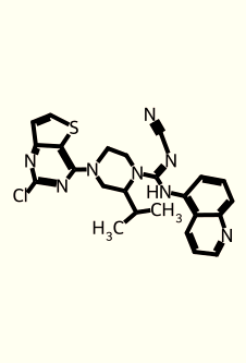 CC(C)C1CN(c2nc(Cl)nc3ccsc23)CCN1/C(=N\C#N)Nc1cccc2ncccc12